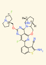 N#Cc1c(N)sc2cccc(-c3nc4c5c(nc(OC[C@@]67CCCN6C[C@H](F)C7)nc5c3F)N3C[C@@H]5CC[C@@H](N5)C3CO4)c12